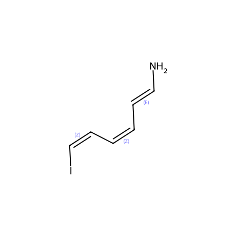 N/C=C/C=C\C=C/I